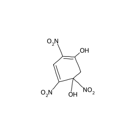 O=[N+]([O-])C1=CC([N+](=O)[O-])=C(O)CC1(O)[N+](=O)[O-]